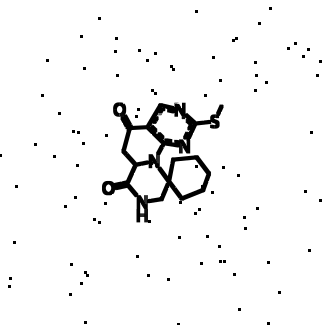 CSc1ncc2c(n1)N1C(CC2=O)C(=O)NCC12CCCCC2